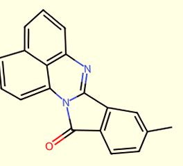 Cc1ccc2c(c1)C1=Nc3cccc4cccc(c34)N1C2=O